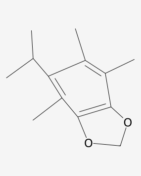 Cc1c(C)c(C(C)C)c(C)c2c1OCO2